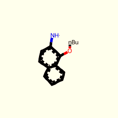 CCCCOc1c([NH])ccc2ccccc12